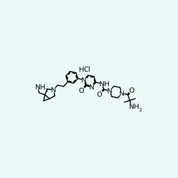 CC(C)(N)C(=O)N1CCN(C(=O)Nc2ccn(-c3cccc(CCN4CC5CC5(CN)C4)c3)c(=O)n2)CC1.Cl